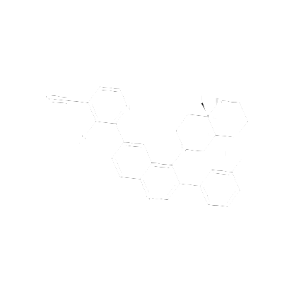 N#Cc1ccnc(-c2ccc3ncc(-c4cccc(F)c4)c(N4CC[C@@H]5NCCO[C@H]5C4)c3c2)c1N